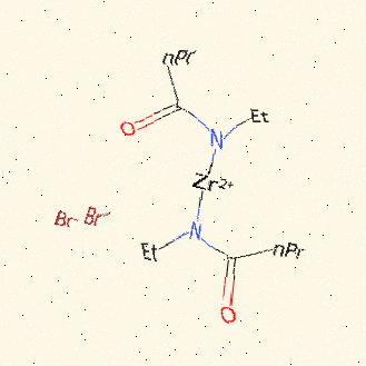 CCCC(=O)[N](CC)[Zr+2][N](CC)C(=O)CCC.[Br-].[Br-]